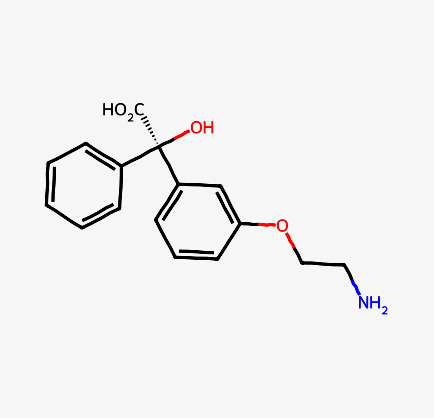 NCCOc1cccc([C@@](O)(C(=O)O)c2ccccc2)c1